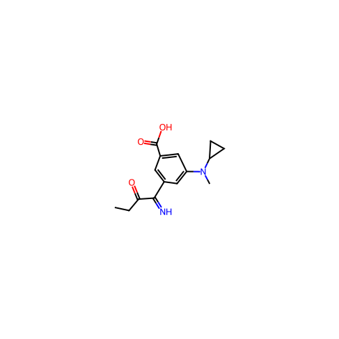 CCC(=O)C(=N)c1cc(C(=O)O)cc(N(C)C2CC2)c1